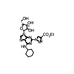 CCOC(=O)c1cn(-c2nc(NC3CCCCC3)c3ncn(C4O[C@H](CO)[C@@H](O)[C@@H]4O)c3n2)nn1